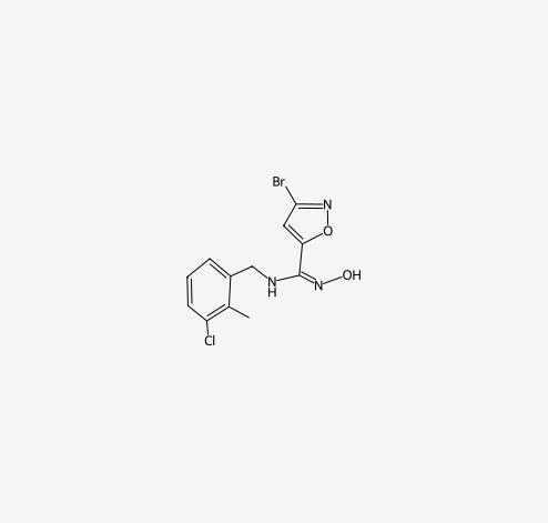 Cc1c(Cl)cccc1CN/C(=N/O)c1cc(Br)no1